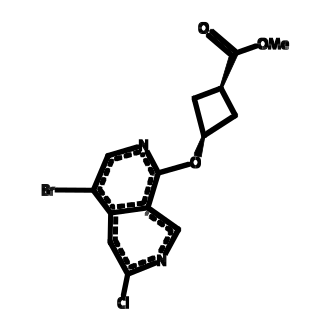 COC(=O)[C@H]1C[C@@H](Oc2ncc(Br)c3cc(Cl)ncc23)C1